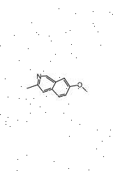 COc1ccc2cc(C)ncc2c1